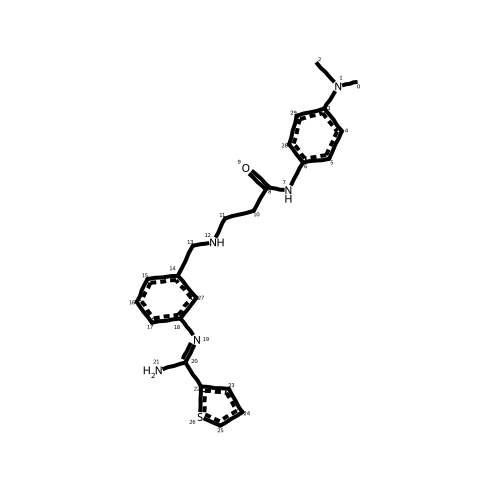 CN(C)c1ccc(NC(=O)CCNCc2cccc(N=C(N)c3cccs3)c2)cc1